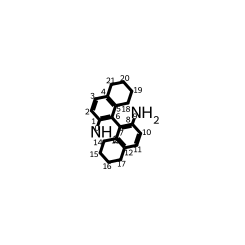 Nc1ccc2c(c1-c1c(N)ccc3c1CCCC3)CCCC2